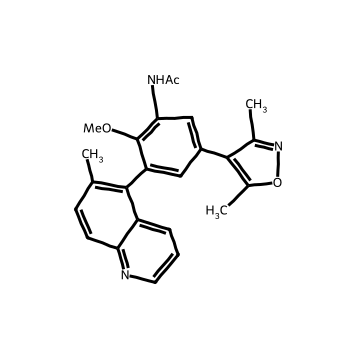 COc1c(NC(C)=O)cc(-c2c(C)noc2C)cc1-c1c(C)ccc2ncccc12